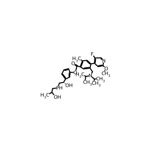 COc1cc(-c2cc(C)c(C(=O)Oc3cccc([C@H](O)CPCC(C)O)c3)cc2CN(C(C)C)C(C)C)c(F)cn1